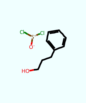 OCCCc1ccccc1.[O-][S+](Cl)Cl